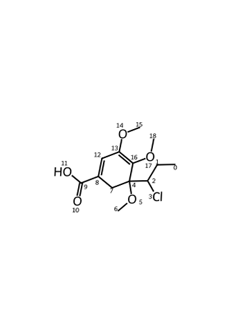 CCC(Cl)C1(OC)CC(C(=O)O)=CC(OC)=C1OC